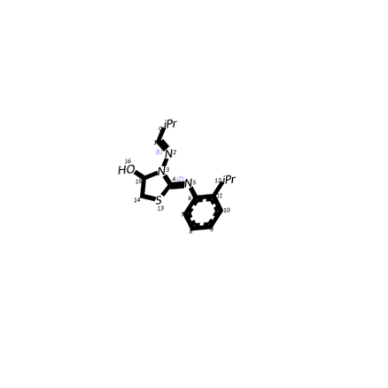 CC(C)/C=N/N1/C(=N/c2ccccc2C(C)C)SCC1O